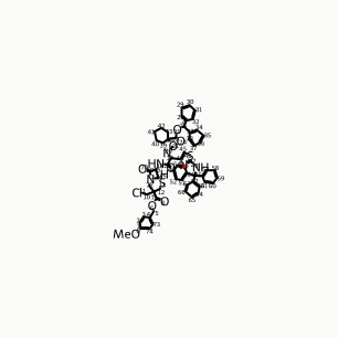 COc1ccc(COC(=O)C2(CCl)CS[C@@H]3C(NC(=O)C(=NOC4(C(=O)OC(c5ccccc5)c5ccccc5)CCCCC4)c4csc(NC(c5ccccc5)(c5ccccc5)c5ccccc5)n4)C(=O)N3C2)cc1